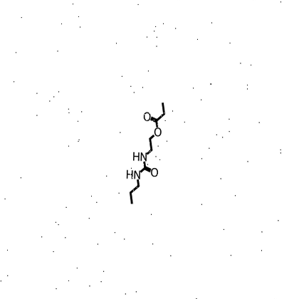 CCCNC(=O)NCCOC(=O)CC